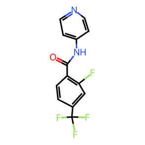 O=C(Nc1ccncc1)c1ccc(C(F)(F)F)cc1F